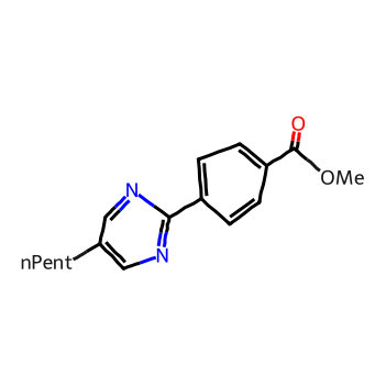 CCCCCc1cnc(-c2ccc(C(=O)OC)cc2)nc1